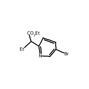 CCOC(=O)C(CC)c1ccc(Br)cn1